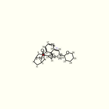 N=C1C(N2CC3CCC(C2)N3C(=O)C2CC2)=CC=N/C1=C/NC1CCCCO1